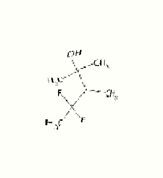 CC(C(C)(C)O)C(C)(F)F